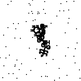 CC(C)(C)C(C)(C)C(=O)ONC(=O)OS(=O)(=O)c1ccccc1S(C)(=O)=O